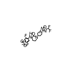 CS(=O)(=O)c1cc(F)c(N[C@H]2CCCN(C3CCN(c4noc(C(F)F)n4)CC3)C2=O)cc1F